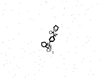 CN(C(=O)N1CCCC1)c1ccc(-n2nc(C(F)(F)F)c3c2CCCC3)cc1